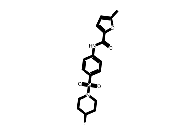 Cc1ccc(C(=O)Nc2ccc(S(=O)(=O)N3CCC(F)CC3)cc2)o1